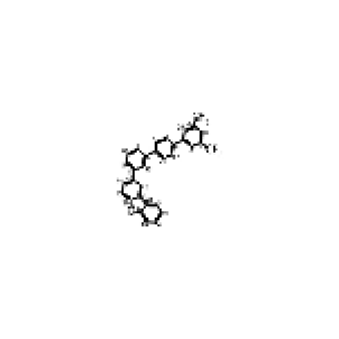 FC(F)(F)c1cc(-c2ccc(-c3cccc(-c4ccc5oc6ccccc6c5c4)c3)cc2)cc(C(F)(F)F)c1